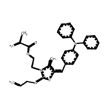 C=CC/N=c1/o/c(=C/c2ccc(N(c3ccccc3)c3ccccc3)cc2)c(=C)n1CCOC(=O)C(=C)C